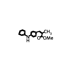 COC(=O)C(C)=Cc1ccc(Nc2ccccc2)cc1